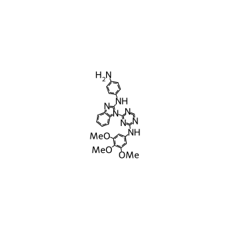 COc1cc(Nc2ncnc(-n3c(Nc4ccc(N)cc4)nc4ccccc43)n2)cc(OC)c1OC